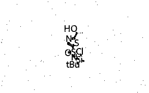 C[C@@H](O)c1ncc(S(=O)(Cl)=N[Si](C)(C)C(C)(C)C)s1